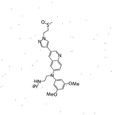 COc1cc(OC)cc(N(CCNC(C)C)c2ccc3ncc(-c4cnn(CC[S+](C)[O-])c4)cc3c2)c1